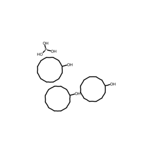 OC1CCCCCCCCCCC1.OC1CCCCCCCCCCC1.OC1CCCCCCCCCCC1.OP(O)O